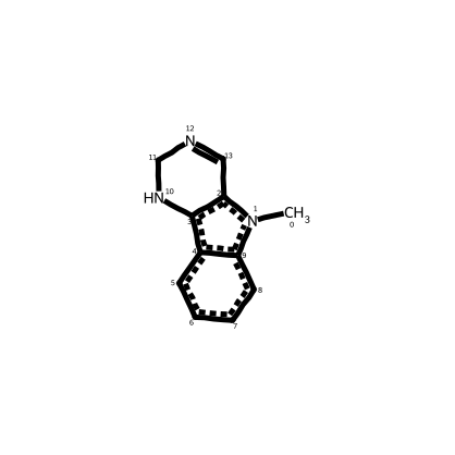 Cn1c2c(c3ccccc31)NCN=C2